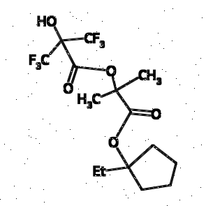 CCC1(OC(=O)C(C)(C)OC(=O)C(O)(C(F)(F)F)C(F)(F)F)CCCC1